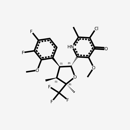 COc1c([C@H]2[C@H](c3[nH]c(C)c(Cl)c(=O)c3OC)O[C@@](C)(C(F)(F)F)[C@H]2C)ccc(F)c1F